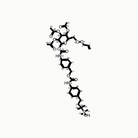 C=CCOOCC1OC(OC(=O)Nc2ccc(COC(=O)Nc3ccc(CCC(C)(C)[Si](C)(C)O)cc3)cc2)C(OC(C)=O)C(OC(C)=O)C1OC(C)=O